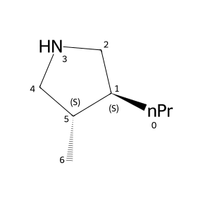 CCC[C@@H]1CNC[C@H]1C